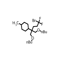 CCCCOCC(CCC(F)(F)Br)(COCCCC)C1CCC(C)CC1